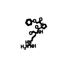 N=C(N)NCCC[C@@H](C=O)NC(=O)[C@@H]1CCCN1C(=O)COc1ccccc1